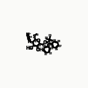 CSC1OC(CO[Si](c2ccccc2)(c2ccccc2)C(C)(C)C)[C@@H](O)[C@H](O)[C@@H]1N=[N+]=[N-]